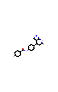 Cc1ccc(C(=O)Nc2ccc(-c3cc(C(C)(C)C)nc4c3cnn4C)cc2)cc1